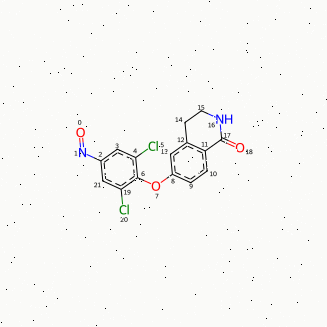 O=Nc1cc(Cl)c(Oc2ccc3c(c2)CCNC3=O)c(Cl)c1